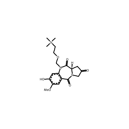 COc1cc2c(cc1O)N(COCC[Si](C)(C)C)C(=O)[C@@H]1CC(=O)CN1C2=O